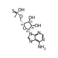 CP(O)(=S)OC[C@H]1O[C@@H](n2cnc3c(N)ncnc32)[C@H](O)[C@@H]1O